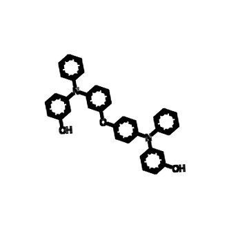 Oc1cccc(N(c2ccccc2)c2ccc(Oc3cccc(N(c4ccccc4)c4cccc(O)c4)c3)cc2)c1